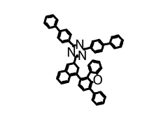 C1=c2ccccc2=C(c2ccc(-c3ccccc3)c3oc4ccccc4c23)CC1c1nc(-c2ccc(-c3ccccc3)cc2)nc(-c2ccc(-c3ccccc3)cc2)n1